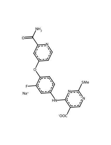 CSc1ncc(C(=O)[O-])c(Nc2ccc(Oc3ccnc(C(N)=O)c3)c(F)c2)n1.[Na+]